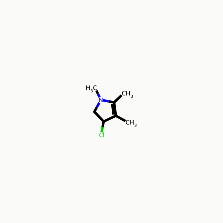 CC1=C(C)N(C)CC1Cl